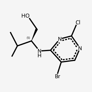 CC(C)[C@@H](CO)Nc1nc(Cl)ncc1Br